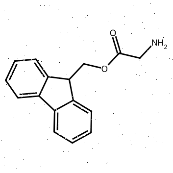 N[CH]C(=O)OCC1c2ccccc2-c2ccccc21